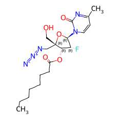 CCCCCCCC(=O)O[C@H]1[C@@H](F)[C@H](n2ccc(C)nc2=O)O[C@@]1(CO)CN=[N+]=[N-]